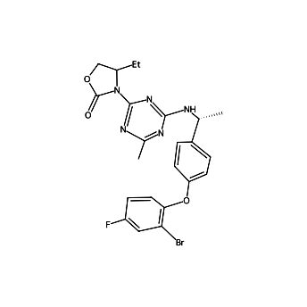 CCC1COC(=O)N1c1nc(C)nc(N[C@H](C)c2ccc(Oc3ccc(F)cc3Br)cc2)n1